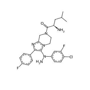 CC(C)C[C@@H](N)C(=O)N1CCn2c(nc(-c3ccc(F)cc3)c2N(N)c2ccc(Cl)c(F)c2)C1